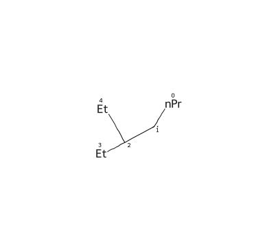 [CH2]CC[CH]C(CC)CC